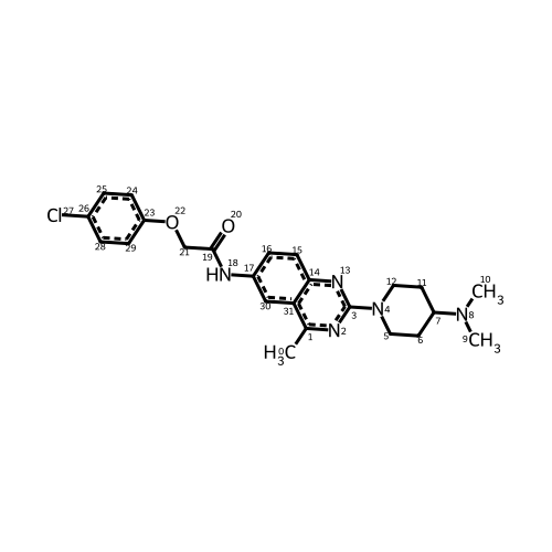 Cc1nc(N2CCC(N(C)C)CC2)nc2ccc(NC(=O)COc3ccc(Cl)cc3)cc12